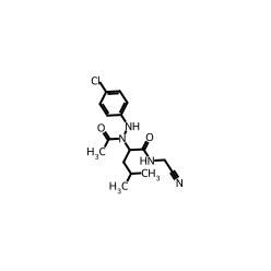 CC(=O)N(Nc1ccc(Cl)cc1)C(CC(C)C)C(=O)NCC#N